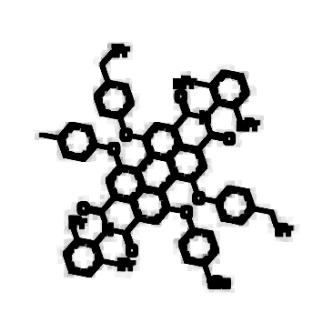 CCCc1cccc(CCC)c1N1C(=O)c2cc(Oc3ccc(CC(C)C)cc3)c3c4c(Oc5ccc(C)cc5)cc5c6c(cc(Oc7ccc(C(C)(C)C)cc7)c(c7c(Oc8ccc(CC(C)C)cc8)cc(c2c37)C1=O)c64)C(=O)N(c1c(C(C)C)cccc1C(C)C)C5=O